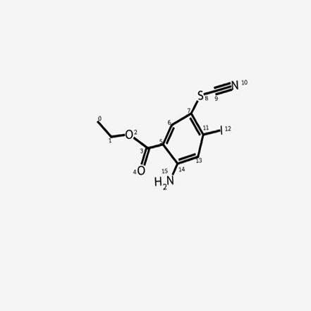 CCOC(=O)c1cc(SC#N)c(I)cc1N